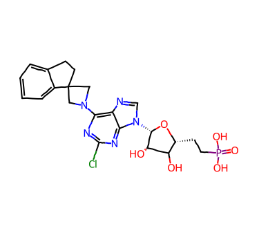 O=P(O)(O)CC[C@H]1O[C@@H](n2cnc3c(N4CC5(CCc6ccccc65)C4)nc(Cl)nc32)[C@@H](O)C1O